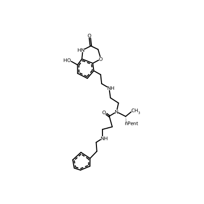 CCCCC[C@@H](C)N(CCNCCc1ccc(O)c2c1OCC(=O)N2)C(=O)CCNCCc1ccccc1